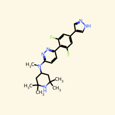 CN(c1ccc(-c2c(F)cc(-c3cn[nH]c3)cc2F)nn1)C1CC(C)(C)NC(C)(C)C1